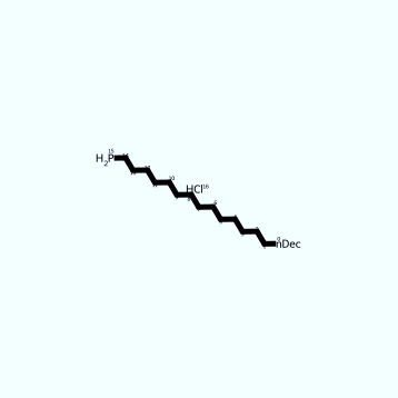 CCCCCCCCCCCCCCCCCCCCCCCCP.Cl